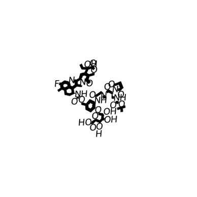 CC[C@]1(O)C(=O)OCc2c1cc1n(c2=O)Cc2c-1nc1cc(F)c(C)c3c1c2[C@H](NC(=O)OCc1ccc(O[C@@H]2OC(C(=O)O)[C@H](O)C(O)C2O)c(NC(=O)CN(C)C(=O)[C@H](CNC(=O)OC(C)(C)C)N2C(=O)C=CC2=O)c1)CC3